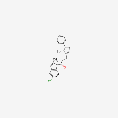 CCC1C(CCC(=O)C2C(C)=Cc3cc(Cl)ccc32)=CC=C1c1ccccc1